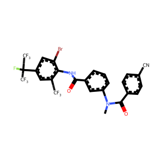 CN(C(=O)c1ccc(C#N)cc1)c1cccc(C(=O)Nc2c(Br)cc(C(F)(C(F)(F)F)C(F)(F)F)cc2C(F)(F)F)c1